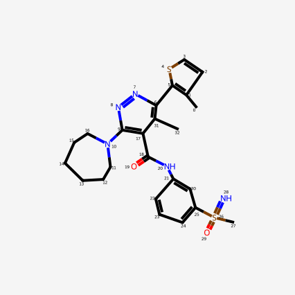 Cc1ccsc1-c1nnc(N2CCCCCC2)c(C(=O)Nc2cccc(S(C)(=N)=O)c2)c1C